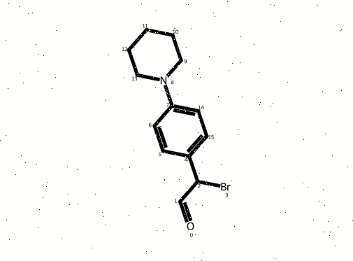 O=CC(Br)c1ccc(N2CCCCC2)cc1